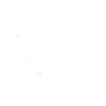 CC(=O)O.CNC(=N)c1ccc(NC(c2nn(-c3ncccn3)c(=O)[nH]2)c2cc(OC)c(OC)cc2F)cc1